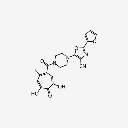 Cc1cc(O)c(=O)c(O)cc1C(=O)N1CCN(c2oc(-c3ccco3)nc2C#N)CC1